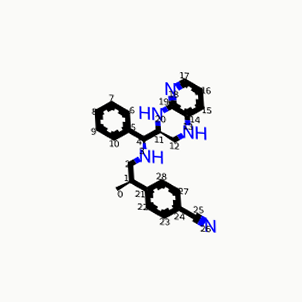 C[C@@H](CN[C@@H](c1ccccc1)[C@@H]1CNc2cccnc2N1)c1ccc(C#N)cc1